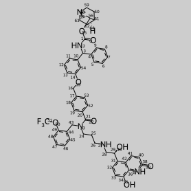 O=C(NC(c1ccccc1)c1cccc(OCc2ccc(C(=O)N(CCCNC[C@@H](O)c3ccc(O)c4[nH]c(=O)ccc34)Cc3ccccc3OC(F)(F)F)cc2)c1)O[C@H]1CN2CCC1CC2